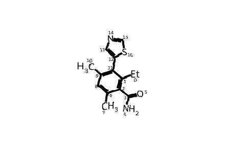 CCc1c(C(N)=O)c(C)cc(C)c1-c1cncs1